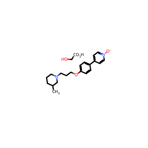 CC1CCCN(CCCOc2ccc(-c3cc[n+]([O-])cc3)cc2)C1.O=C(O)CO